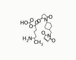 CC(N)CCCC(=O)OC(=O)O.O=C1C=CC(=O)N1CC1CCC(N2C(=O)CCC2=O)CC1